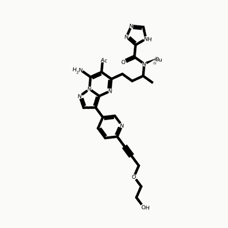 CC[C@H](C)N(C(=O)c1nnc[nH]1)C(C)CCc1nc2c(-c3ccc(C#CCOCCO)nc3)cnn2c(N)c1C(C)=O